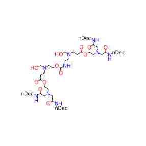 CCCCCCCCCCNC(=O)CN(CCOC(=O)CCN(CO)CCNC(=O)OCCN(CO)CCC(=O)OCCN(CC(=O)NCCCCCCCCCC)CC(=O)NCCCCCCCCCC)CC(=O)NCCCCCCCCCC